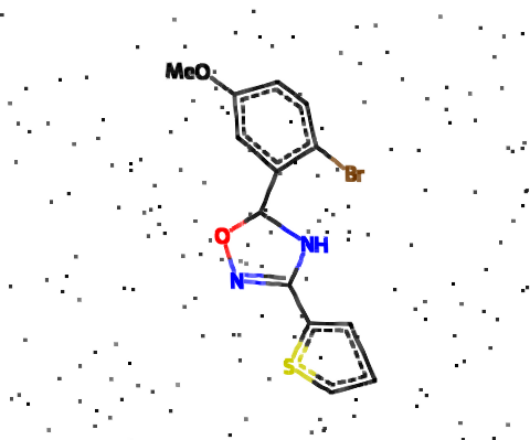 COc1ccc(Br)c(C2NC(c3cccs3)=NO2)c1